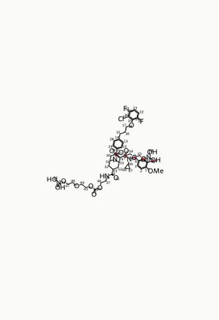 COc1ccc(CN(C(=O)C2=C(c3ccc(CCCOc4c(F)ccc(F)c4Cl)cc3)CC3CC(C(=O)NCCOC(=O)OCCOCCON(O)O)CC2N3C(=O)OCCOCON(O)O)C2CC2)cc1C